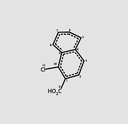 O=C(O)c1ccc2ccccc2c1Cl